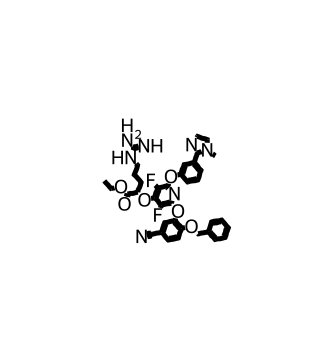 CCOC(=O)C(CCCNC(=N)N)Oc1c(F)c(Oc2cccc(C3=NCCN3C)c2)nc(Oc2cc(C#N)ccc2OCc2ccccc2)c1F